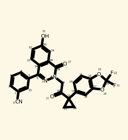 N#Cc1cccc(-c2nn(CC(=O)C3(c4ccc5c(c4)OC(F)(F)O5)CC3)c(=O)c3cc(O)ccc23)c1